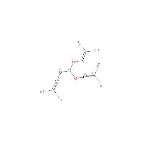 FC(F)=COC([O][Cf]=[C](F)F)[O][Cf]=[C](F)F